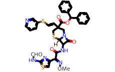 CON=C(C(=O)NC1C(=O)N2CC(C=CSc3cccnc3)(C(=O)OC(c3ccccc3)c3ccccc3)CS[C@H]12)c1csc(NC=O)n1